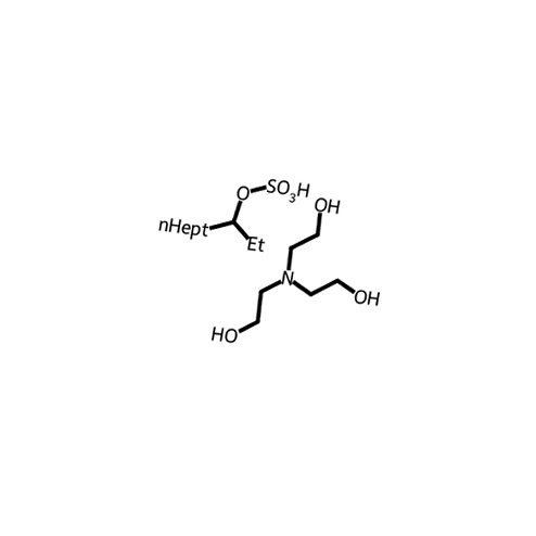 CCCCCCCC(CC)OS(=O)(=O)O.OCCN(CCO)CCO